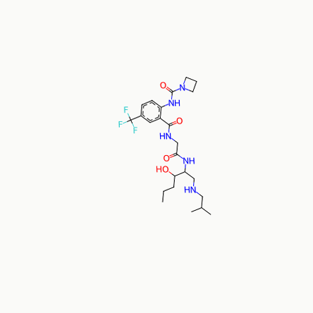 CCCC(O)C(CNCC(C)C)NC(=O)CNC(=O)c1cc(C(F)(F)F)ccc1NC(=O)N1CCC1